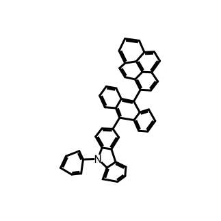 c1ccc(-n2c3ccccc3c3cc(-c4c5ccccc5c(-c5ccc6ccc7cccc8ccc5c6c78)c5ccccc45)ccc32)cc1